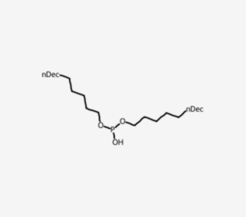 CCCCCCCCCCCCCCCOP(O)OCCCCCCCCCCCCCCC